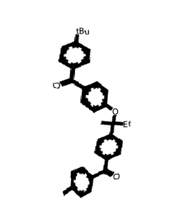 CCC(C)(Oc1ccc(C(=O)c2ccc(C(C)(C)C)cc2)cc1)c1ccc(C(=O)c2ccc(C)cc2)cc1